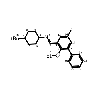 CCOc1c(/C=N/C2CCC(C(C)(C)C)CC2)cc(C)cc1-c1ccccc1